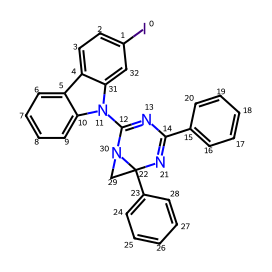 Ic1ccc2c3ccccc3n(C3=NC(c4ccccc4)=NC4(c5ccccc5)CN34)c2c1